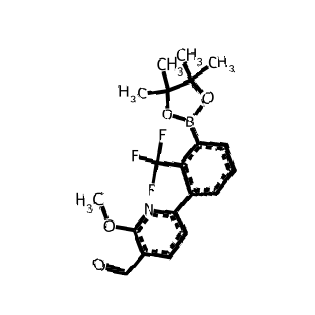 COc1nc(-c2cccc(B3OC(C)(C)C(C)(C)O3)c2C(F)(F)F)ccc1C=O